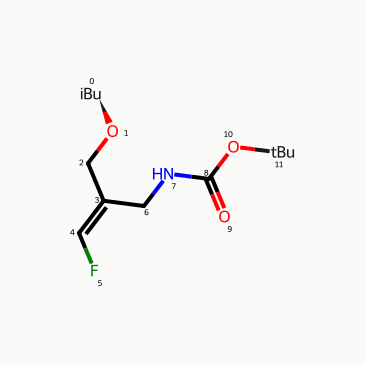 CC[C@H](C)OC/C(=C/F)CNC(=O)OC(C)(C)C